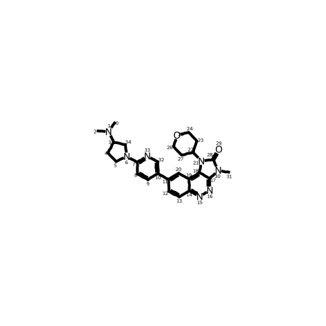 CN(C)C1CCN(c2ccc(-c3ccc4nnc5c(c4c3)n(C3CCOCC3)c(=O)n5C)cn2)C1